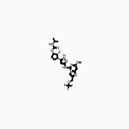 COc1cc2nc(COC(F)(F)F)cn2c(Nc2cc([C@H]3CC[C@@H](OC(=O)NC(C)C)[C@@H]3F)[nH]n2)n1